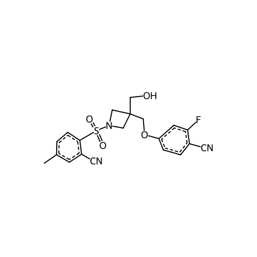 Cc1ccc(S(=O)(=O)N2CC(CO)(COc3ccc(C#N)c(F)c3)C2)c(C#N)c1